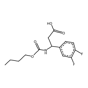 CCCCOC(=O)NC(CC(=O)O)c1ccc(F)c(F)c1